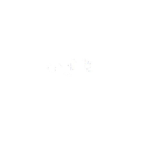 CC(C)(C)C(=O)O[C@@H](Cc1ccccc1)C(=O)N[C@@H](Cc1c[nH]cn1)C(=O)O